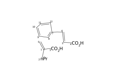 C=C(CCC)C(=O)O.O=C(O)C=Cc1ccccc1